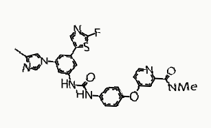 CNC(=O)c1cc(Oc2ccc(NC(=O)Nc3cc(-c4cnc(F)s4)cc(-n4cnc(C)c4)c3)cc2)ccn1